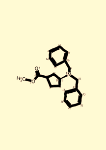 COC(=O)C1CC[C@H](N(Cc2ccccc2)Cc2ccccc2)C1